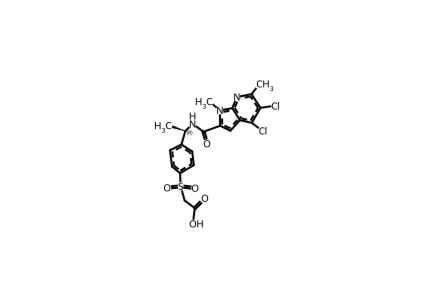 Cc1nc2c(cc(C(=O)N[C@H](C)c3ccc(S(=O)(=O)CC(=O)O)cc3)n2C)c(Cl)c1Cl